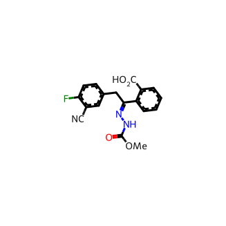 COC(=O)NN=C(Cc1ccc(F)c(C#N)c1)c1ccccc1C(=O)O